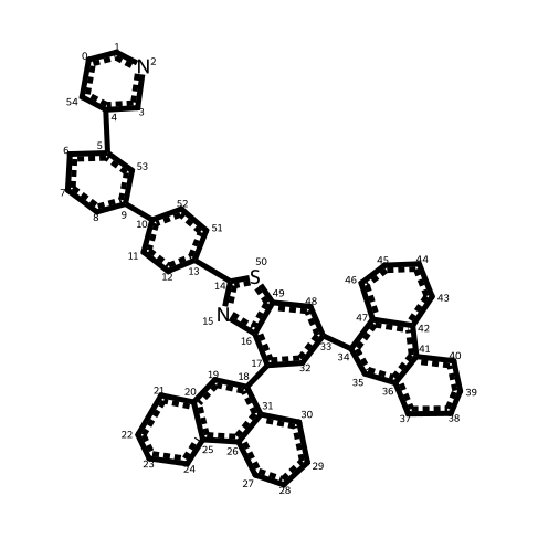 c1cncc(-c2cccc(-c3ccc(-c4nc5c(-c6cc7ccccc7c7ccccc67)cc(-c6cc7ccccc7c7ccccc67)cc5s4)cc3)c2)c1